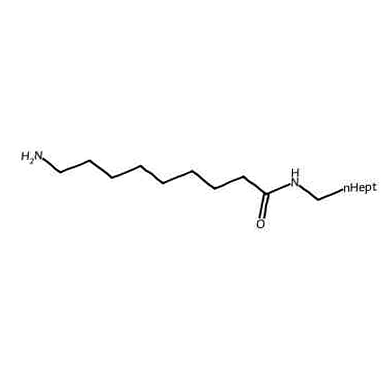 CCCCCCCCNC(=O)CCCCCCCCN